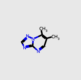 Cc1[c]nc2ncnn2c1C